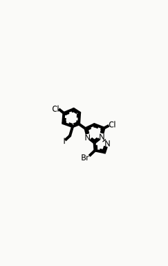 Clc1ccc(-c2cc(Cl)n3ncc(Br)c3n2)c(CI)c1